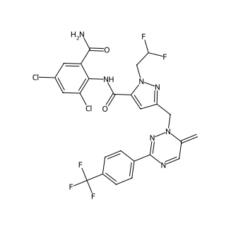 C=C1C=NC(c2ccc(C(F)(F)F)cc2)=NN1Cc1cc(C(=O)Nc2c(Cl)cc(Cl)cc2C(N)=O)n(CC(F)F)n1